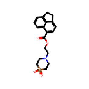 O=C(OCCN1CCS(=O)(=O)CC1)c1ccc2c3c(cccc13)CC2